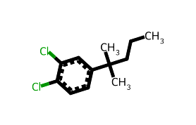 CCCC(C)(C)c1ccc(Cl)c(Cl)c1